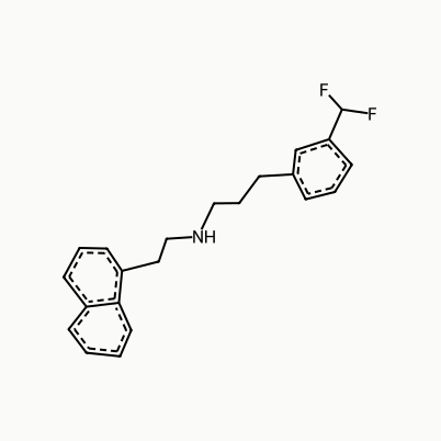 FC(F)c1cccc(CCCNCCc2cccc3ccccc23)c1